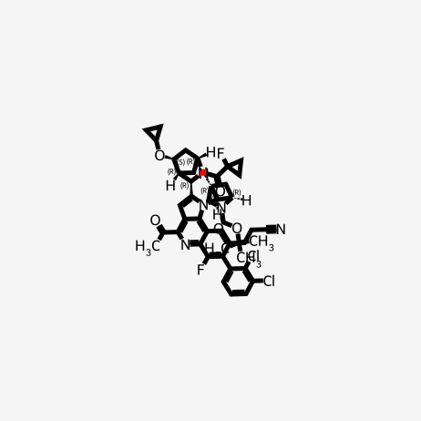 CC(=O)c1nc2c(F)c(-c3cccc(Cl)c3Cl)c(CCC#N)cc2c2c1cc([C@H]1[C@H]3C[C@H](C[C@@H]3OC3CC3)N1C(=O)C1(F)CC1)n2[C@H]1[C@@H]2C[C@H]1N(C(=O)OC(C)(C)C)C2